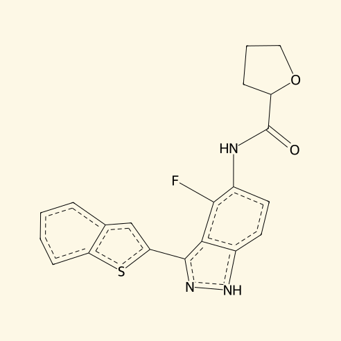 O=C(Nc1ccc2[nH]nc(-c3cc4ccccc4s3)c2c1F)C1CCCO1